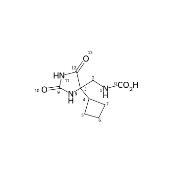 O=C(O)NCC1(C2CCC2)NC(=O)NC1=O